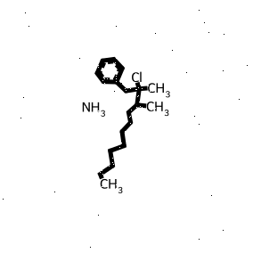 CCCCCCCCC(C)C(C)(Cl)Cc1ccccc1.N